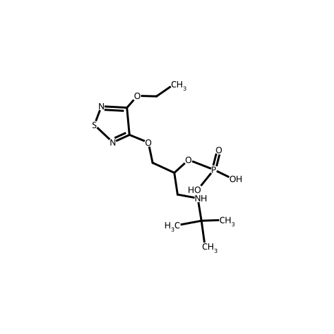 CCOc1nsnc1OCC(CNC(C)(C)C)OP(=O)(O)O